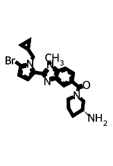 Cn1c(-c2ccc(Br)n2CC2CC2)nc2cc(C(=O)N3CCC[C@@H](N)C3)ccc21